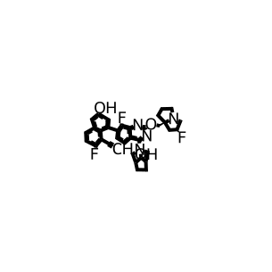 C#Cc1c(F)ccc2cc(O)cc(-c3ccc4c(N5CC6CCC(C5)C6O)nc(OC[C@@]56CCCN5C[C@H](F)C6)nc4c3F)c12